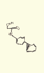 O=C(CO)Nc1ccc(-c2ccccc2)cc1